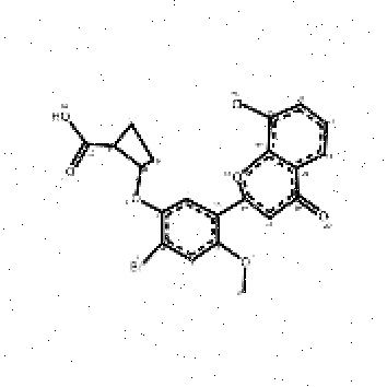 COc1cc(Br)c(OC2CCC2C(=O)O)cc1-c1cc(=O)c2cccc(Cl)c2o1